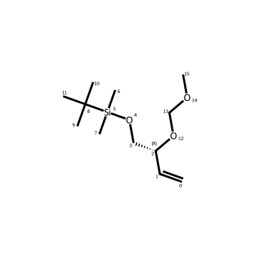 C=C[C@H](CO[Si](C)(C)C(C)(C)C)OCOC